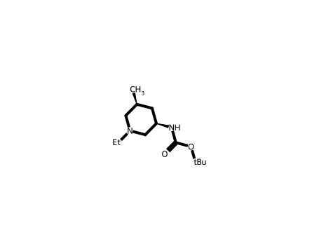 CCN1C[C@@H](C)C[C@@H](NC(=O)OC(C)(C)C)C1